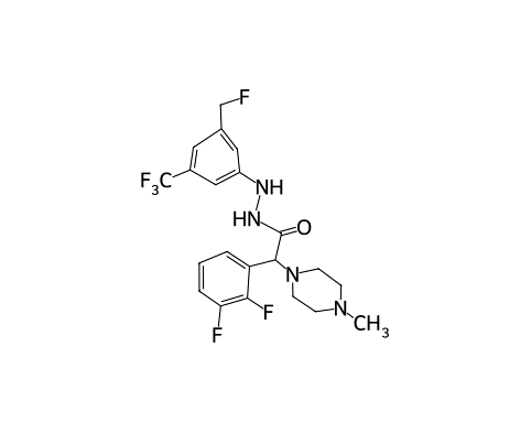 CN1CCN(C(C(=O)NNc2cc(CF)cc(C(F)(F)F)c2)c2cccc(F)c2F)CC1